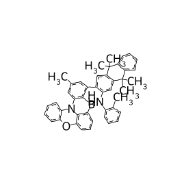 Cc1cc(-c2cc3c(cc2Nc2ccccc2C)C(C)(C)c2ccccc2C3(C)C)c2c(c1)N1c3ccccc3Oc3cccc(c31)B2